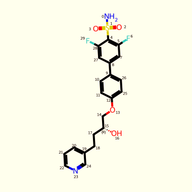 NS(=O)(=O)c1c(F)cc(-c2ccc(OC[C@H](O)CCc3cccnc3)cc2)cc1F